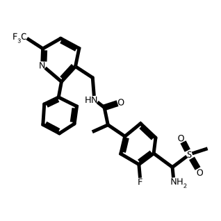 CC(C(=O)NCc1ccc(C(F)(F)F)nc1-c1ccccc1)c1ccc(C(N)S(C)(=O)=O)c(F)c1